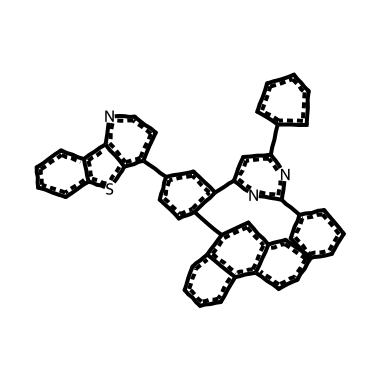 c1ccc(-c2cc(-c3cc(-c4ccnc5c4sc4ccccc45)ccc3-c3cc4ccccc4c4ccccc34)nc(-c3ccccc3)n2)cc1